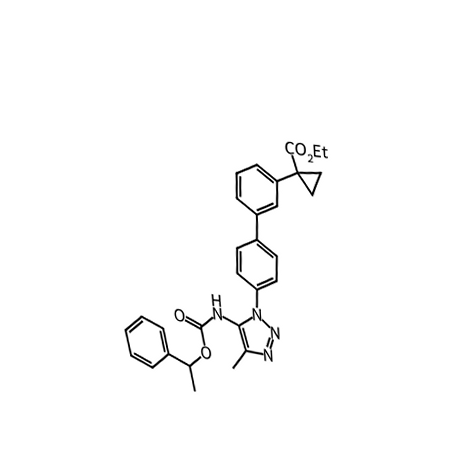 CCOC(=O)C1(c2cccc(-c3ccc(-n4nnc(C)c4NC(=O)OC(C)c4ccccc4)cc3)c2)CC1